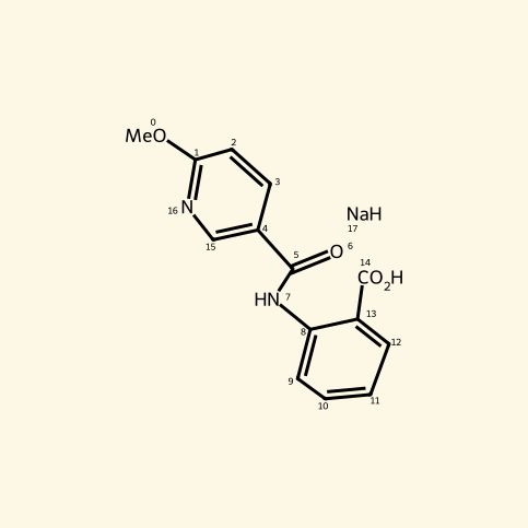 COc1ccc(C(=O)Nc2ccccc2C(=O)O)cn1.[NaH]